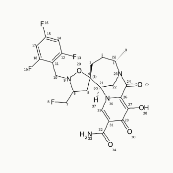 C[C@H]1CC[C@]2(CC(CF)N(Cc3c(F)cc(F)cc3F)O2)[C@H]2CN1C(=O)c1c(O)c(=O)c(C(N)=O)cn12